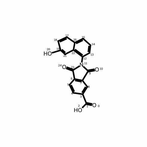 O=C(O)c1ccc2c(c1)C(=O)N(c1cccc3ccc(O)cc13)C2=O